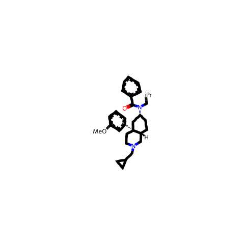 COc1cccc([C@@]23CCN(CC4CC4)C[C@H]2CC[C@@H](N(CC(C)C)C(=O)c2ccccc2)C3)c1